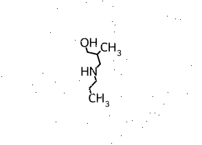 CCCNCC(C)CO